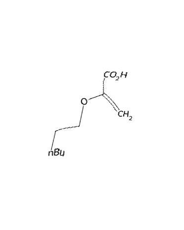 C=C(OCCCCCC)C(=O)O